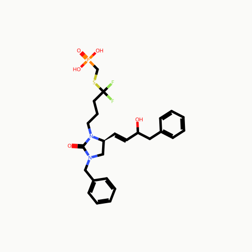 O=C1N(Cc2ccccc2)C[C@H](C=CC(O)Cc2ccccc2)N1CCCC(F)(F)SCP(=O)(O)O